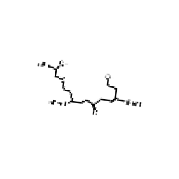 CCCCCC(CCO)CCC(=O)CCC(CCCCC)CCSCC(O)CCCC